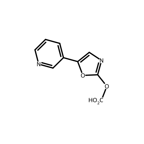 O=C(O)Oc1ncc(-c2cccnc2)o1